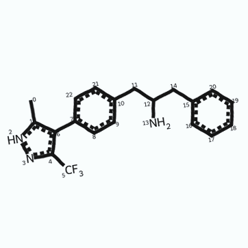 Cc1[nH]nc(C(F)(F)F)c1-c1ccc(CC(N)Cc2ccccc2)cc1